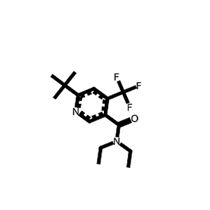 CCN(CC)C(=O)c1cnc(C(C)(C)C)cc1C(F)(F)F